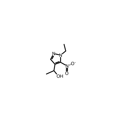 CCn1ncc(C(C)O)c1[N+](=O)[O-]